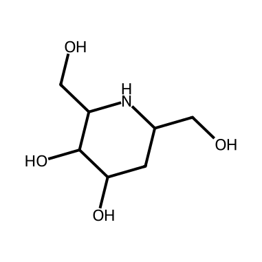 OCC1CC(O)C(O)C(CO)N1